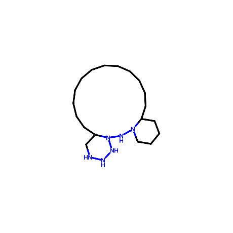 C1CCCCCCC2CNNNN2NN2CCCCC2CCCCC1